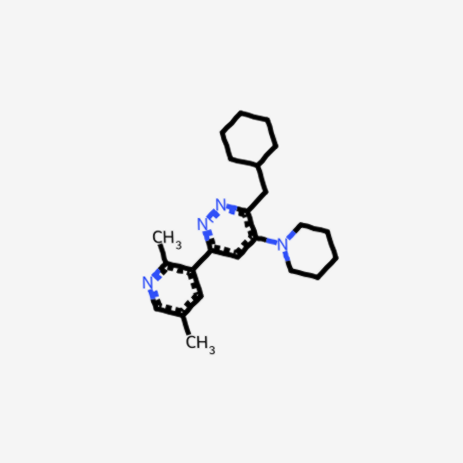 Cc1cnc(C)c(-c2cc(N3CCCCC3)c(CC3CCCCC3)nn2)c1